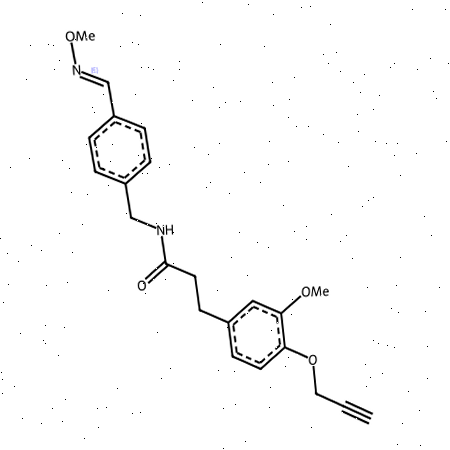 C#CCOc1ccc(CCC(=O)NCc2ccc(/C=N/OC)cc2)cc1OC